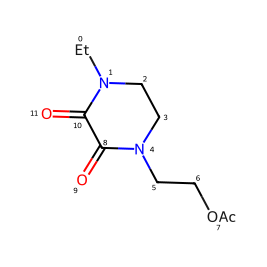 CCN1CCN(CCOC(C)=O)C(=O)C1=O